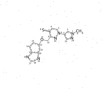 Cn1cc(-n2ccc(=S)c(COc3ccc4nccnc4c3)n2)cn1